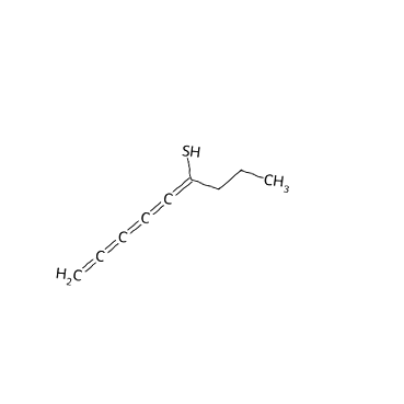 C=C=C=C=C=C(S)CCC